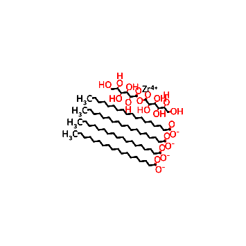 CCCCCCCCCCCCCCCCCC(=O)[O-].CCCCCCCCCCCCCCCCCC(=O)[O-].CCCCCCCCCCCCCCCCCC(=O)[O-].CCCCCCCCCCCCCCCCCC(=O)[O-].O=C(OC(=O)[C@H](O)[C@@H](O)[C@H](O)[C@H](O)CO)[C@H](O)[C@@H](O)[C@H](O)[C@H](O)CO.[Zr+4]